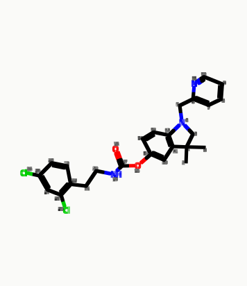 CC1(C)CN(Cc2ccccn2)c2ccc(OC(=O)NCCc3ccc(Cl)cc3Cl)cc21